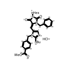 CCCCCCN1C(=O)C(=Cc2cnc(CCCC)n2Cc2ccc(C(=O)OC)cc2)N(Cc2ccccc2)C1=O.Cl